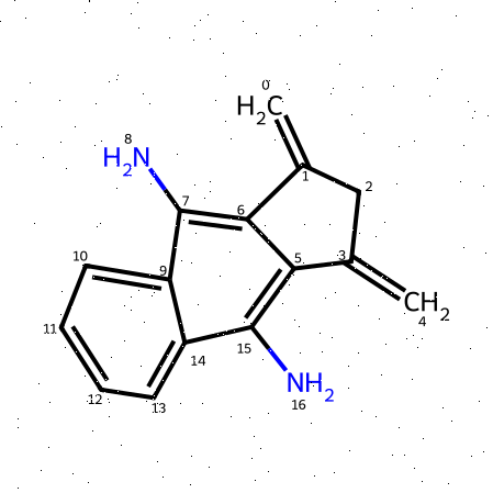 C=C1CC(=C)c2c1c(N)c1ccccc1c2N